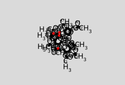 CC(=O)OC[C@H]1O[C@@H](OP(=O)(O[C@@H]2O[C@H](COC(C)=O)[C@@H](OC(C)=O)[C@H](OC(C)=O)[C@@H]2OC(C)=O)O[C@@H]2O[C@H](COC(C)=O)[C@@H](OC(C)=O)[C@H](OC(C)=O)[C@@H]2OC(C)=O)[C@@H](OC(C)=O)[C@@H](OC(C)=O)[C@@H]1OC(C)=O